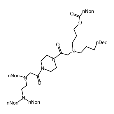 CCCCCCCCCCCCCN(CCCOC(=O)CCCCCCCCC)CC(=O)N1CCN(C(=O)CN(CCCCCCCCC)CCN(CCCCCCCCC)CCCCCCCCC)CC1